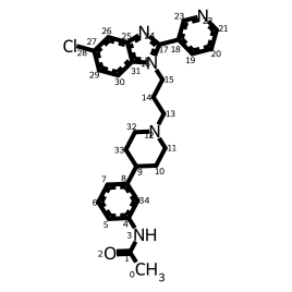 CC(=O)Nc1cccc(C2CCN(CCCn3c(-c4cccnc4)nc4cc(Cl)ccc43)CC2)c1